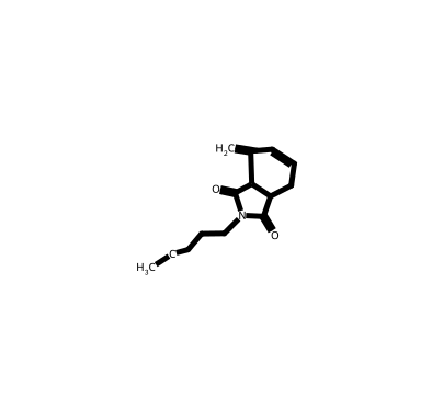 C=C1C=CCC2C(=O)N(CCCCC)C(=O)C12